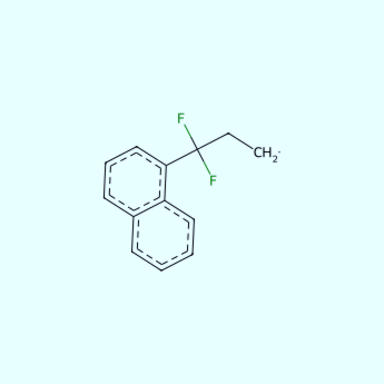 [CH2]CC(F)(F)c1cccc2ccccc12